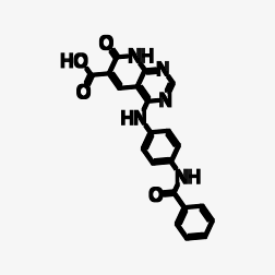 O=C(Nc1ccc(Nc2ncnc3[nH]c(=O)c(C(=O)O)cc23)cc1)c1ccccc1